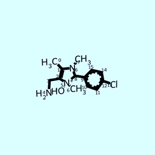 CC1=C(CN)[N+](C)(O)C(c2ccc(Cl)cc2)N1C